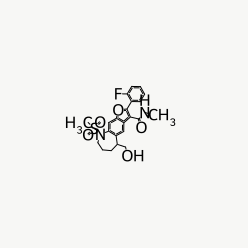 CNC(=O)c1c(-c2ccccc2F)oc2cc3c(cc12)C(CO)CCCN3S(C)(=O)=O